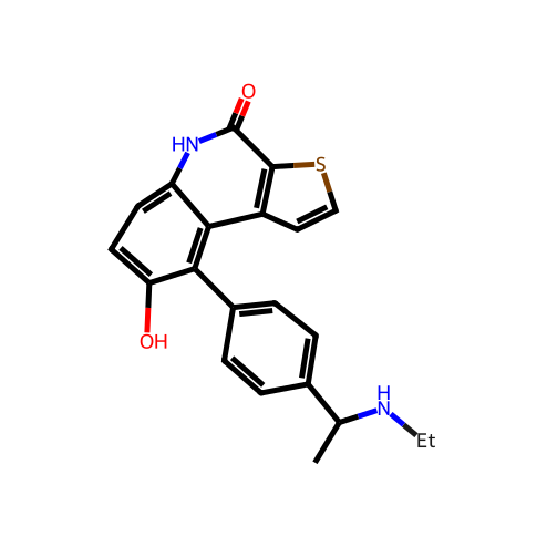 CCNC(C)c1ccc(-c2c(O)ccc3[nH]c(=O)c4sccc4c23)cc1